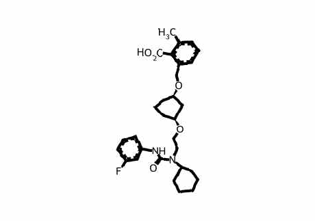 Cc1cccc(CO[C@@H]2CCC[C@H](OCCN(C(=O)Nc3cccc(F)c3)C3CCCCC3)C2)c1C(=O)O